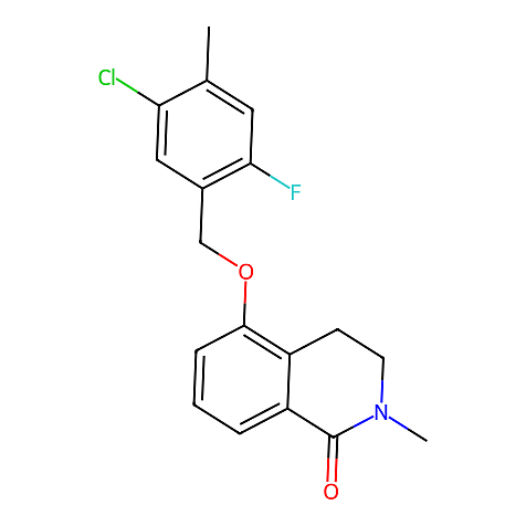 Cc1cc(F)c(COc2cccc3c2CCN(C)C3=O)cc1Cl